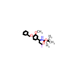 COc1cc(C(CCI)NC(=O)OC(C)(C)C)ccc1OCc1ccccc1